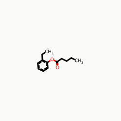 CCCCC(=O)Oc1ccccc1CC